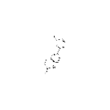 O=C1CCc2cc(-c3cccc(F)c3)ccc2N1